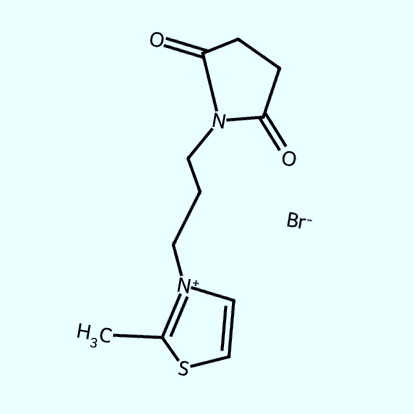 Cc1scc[n+]1CCCN1C(=O)CCC1=O.[Br-]